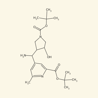 Cc1cc(C(N)C2CN(C(=O)OC(C)(C)C)CC2O)cc(C(=O)OC(C)(C)C)n1